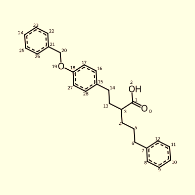 O=C(O)C(CCCc1ccccc1)CCc1ccc(OCc2ccccc2)cc1